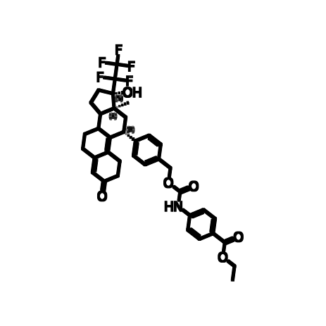 CCOC(=O)c1ccc(NC(=O)OCc2ccc([C@H]3C[C@@]4(C)C(CC[C@@]4(O)C(F)(F)C(F)(F)F)C4CCC5=CC(=O)CCC5=C43)cc2)cc1